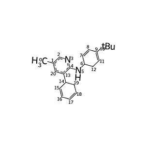 Cc1cnc(NC2C=CC(C(C)(C)C)=CC2)c(C2C=CC=CC2)c1